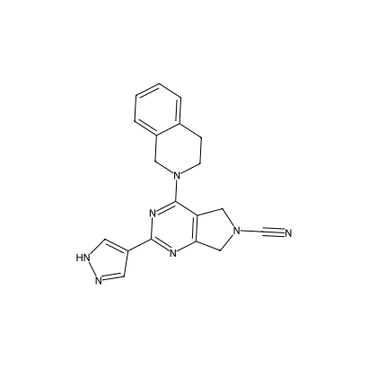 N#CN1Cc2nc(-c3cn[nH]c3)nc(N3CCc4ccccc4C3)c2C1